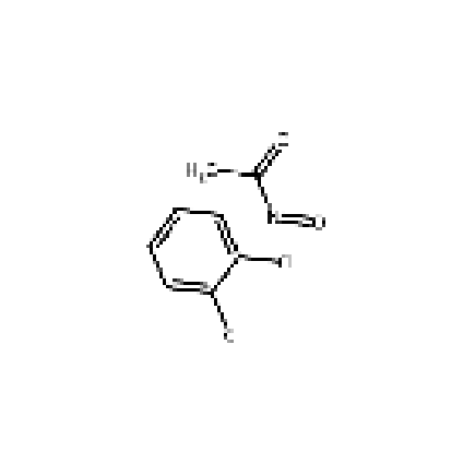 CC(=O)N=O.Clc1ccccc1Cl